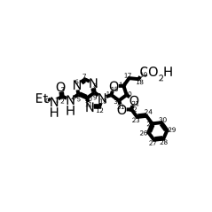 CCNC(=O)Nc1ncnc2c1ncn2C1OC(CCC(=O)O)C2OC(/C=C/c3ccccc3)OC21